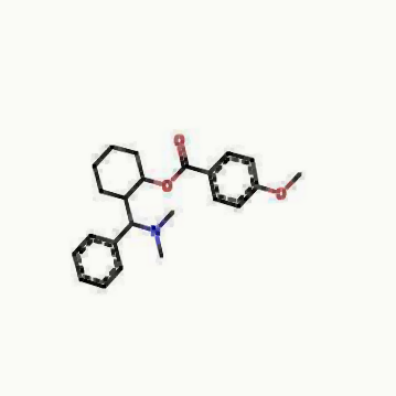 COc1ccc(C(=O)OC2CCCCC2C(c2ccccc2)N(C)C)cc1